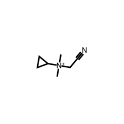 C[N+](C)(CC#N)C1CC1